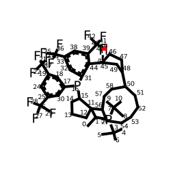 CC(P(C(C)(C)C)C(C)(C)C)C12CCCC1P(c1cc(C(F)(F)F)cc(C(F)(F)F)c1)c1cc(C(F)(F)F)cc(C(F)(F)F)c1[C@@H]1CCC(C1)C1CCCCCC2CC1